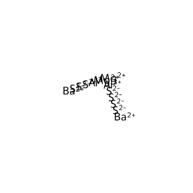 [Al+3].[Al+3].[Ba+2].[Ba+2].[Mg+2].[Mg+2].[S-2].[S-2].[S-2].[S-2].[S-2].[S-2].[S-2]